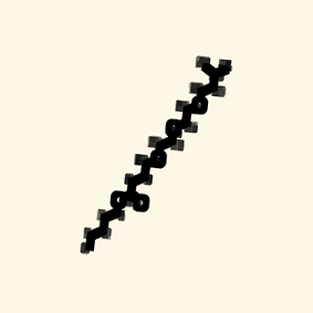 CCCCCOC(=O)CCCOCCOCCOCCC(C)C